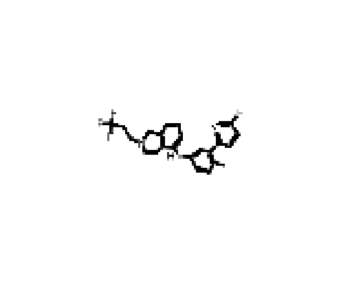 Cc1ccc(Nc2cccc3c2CCN(CCC(F)(F)F)C3)cc1-c1ccc(F)cn1